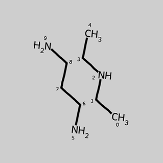 CCNCC.NCCCN